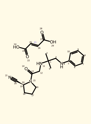 CC(C)(CNc1ccccc1)NCC(=O)N1CCC[C@H]1C#N.O=C(O)/C=C/C(=O)O